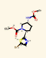 CC(C)OC(=O)N[C@@H]1CC[C@@H](c2ncc(Br)s2)N(C(=O)OC(C)(C)C)C1